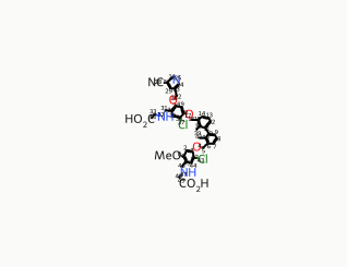 COc1cc(OCc2cccc(-c3cccc(COc4cc(OCc5cncc(C#N)c5)c(CNCC(=O)O)cc4Cl)c3C)c2C)c(Cl)cc1CNCC(=O)O